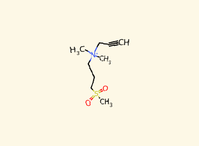 C#CC[N+](C)(C)CCCS(C)(=O)=O